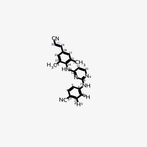 [2H]c1c(C#N)ccc(Nc2nccc(Nc3c(C)cc(/C=C/C#N)cc3C)n2)c1[2H]